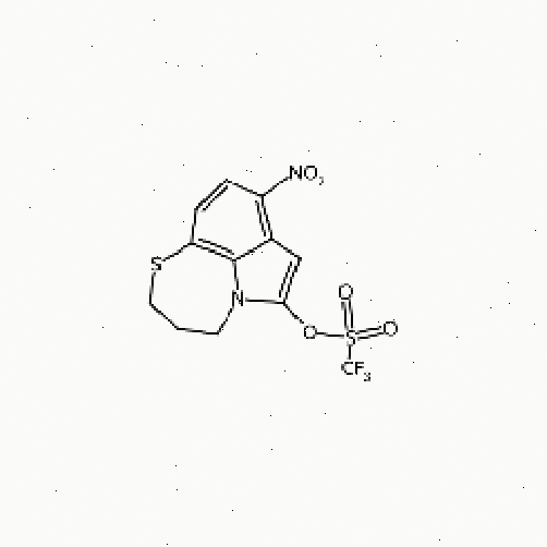 O=[N+]([O-])c1ccc2c3c1cc(OS(=O)(=O)C(F)(F)F)n3CCCS2